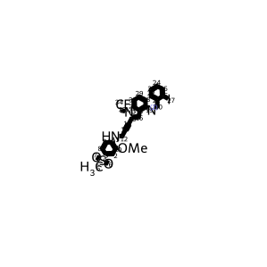 COc1cc(S(C)(=O)=O)ccc1NCC#Cc1cc2c(/N=C\c3ccccc3I)cccc2n1CC(F)(F)F